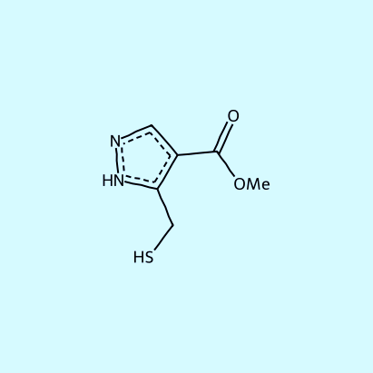 COC(=O)c1cn[nH]c1CS